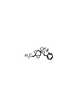 CCC1OCC(C)(OCc2ccccc2F)CO1